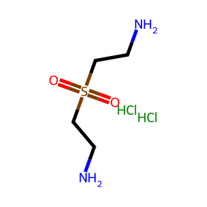 Cl.Cl.NCCS(=O)(=O)CCN